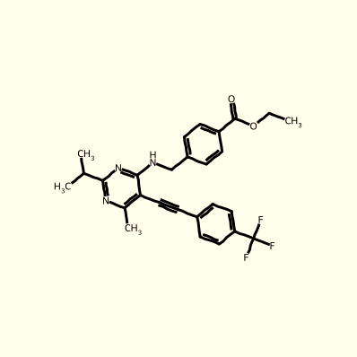 CCOC(=O)c1ccc(CNc2nc(C(C)C)nc(C)c2C#Cc2ccc(C(F)(F)F)cc2)cc1